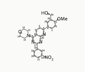 COc1ccc(-c2ccc3c(N4CCOCC4)nc(-c4cccc([N+](=O)[O-])c4)nc3n2)cc1CO